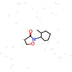 CC1CCCCC1N1OC[CH]C1=O